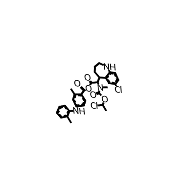 Cc1ccccc1Nc1ccc(C(=O)OC(=O)C(C2CCCNc3ccc(Cl)cc32)N(C)C(=O)OC(C)Cl)c(C)c1